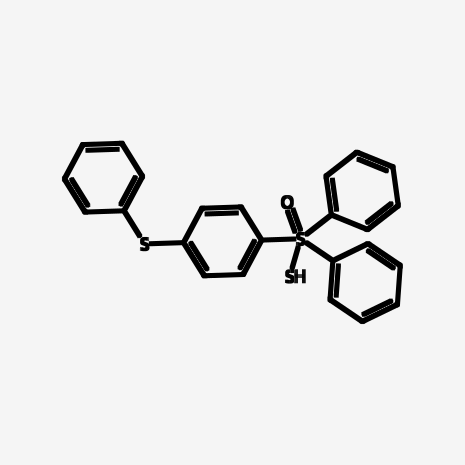 O=S(S)(c1ccccc1)(c1ccccc1)c1ccc(Sc2ccccc2)cc1